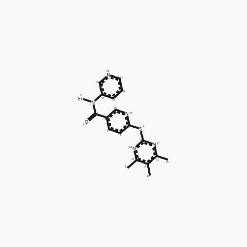 CCN(C(=O)c1ccc(Sc2nc(C)c(C)c(C)n2)nc1)c1cccnc1